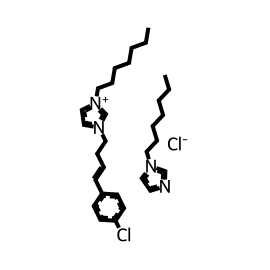 CCCCCCC[n+]1ccn(CCC=Cc2ccc(Cl)cc2)c1.CCCCCCCn1ccnc1.[Cl-]